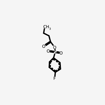 CCCC(=O)OS(=O)(=O)c1ccc(F)cc1